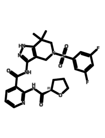 CC1(C)CN(S(=O)(=O)c2cc(F)cc(F)c2)Cc2c(NC(=O)c3cccnc3NC(=O)[C@H]3CCCO3)n[nH]c21